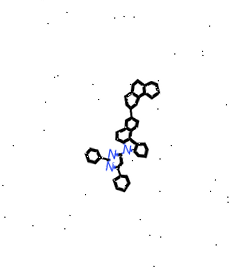 c1ccc(-c2cc(-n3c4ccccc4c4c5ccc(-c6ccc7ccc8ccccc8c7c6)cc5ccc43)nc(-c3ccccc3)n2)cc1